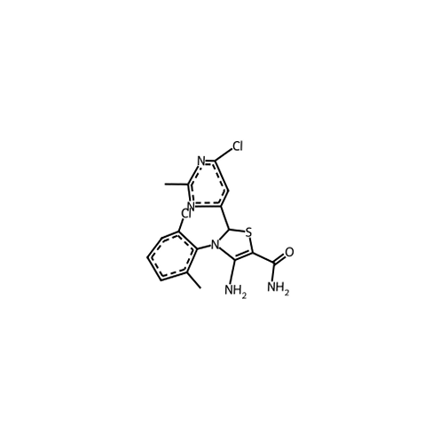 Cc1nc(Cl)cc(C2SC(C(N)=O)=C(N)N2c2c(C)cccc2Cl)n1